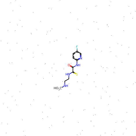 O=C(O)NCCNC(=S)C(=O)Nc1ccc(F)cn1